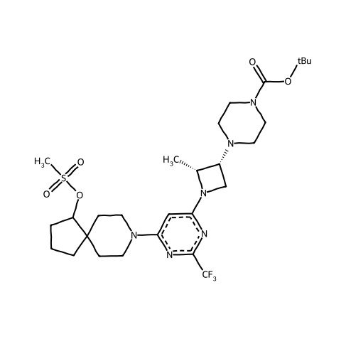 C[C@@H]1[C@H](N2CCN(C(=O)OC(C)(C)C)CC2)CN1c1cc(N2CCC3(CCCC3OS(C)(=O)=O)CC2)nc(C(F)(F)F)n1